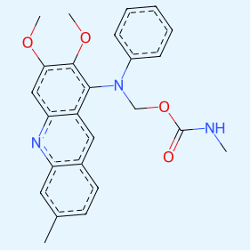 CNC(=O)OCN(c1ccccc1)c1c(OC)c(OC)cc2nc3cc(C)ccc3cc12